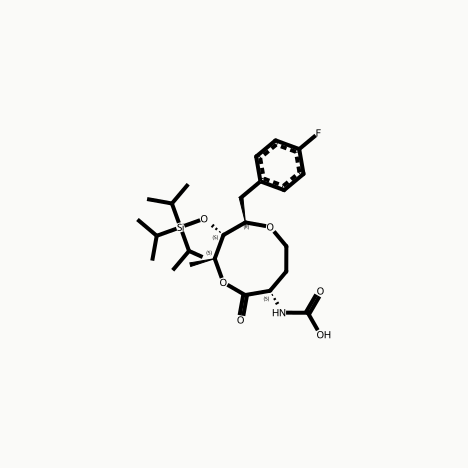 CC(C)[Si](O[C@H]1[C@H](C)OC(=O)[C@@H](NC(=O)O)CCO[C@@H]1Cc1ccc(F)cc1)(C(C)C)C(C)C